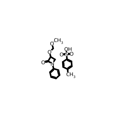 COCOC1CN(c2ccccc2)C1=O.Cc1ccc(S(=O)(=O)O)cc1